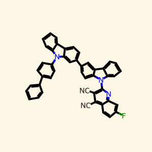 N#Cc1c(-n2c3ccccc3c3cc(-c4ccc5c6ccccc6n(-c6ccc(-c7ccccc7)cc6)c5c4)ccc32)nc2cc(F)ccc2c1C#N